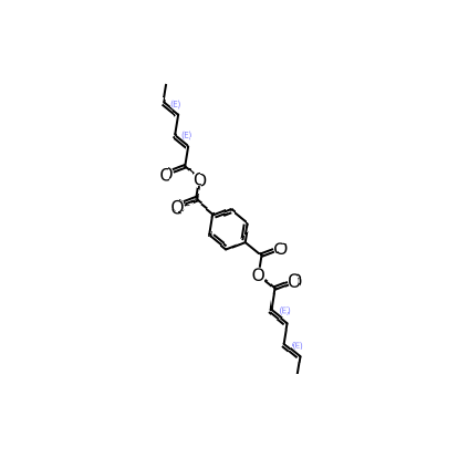 C/C=C/C=C/C(=O)OC(=O)c1ccc(C(=O)OC(=O)/C=C/C=C/C)cc1